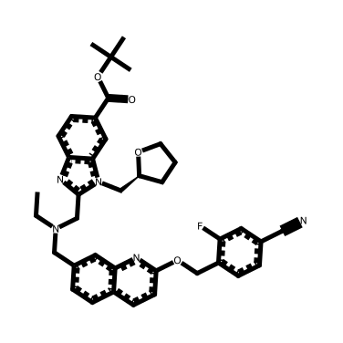 CCN(Cc1ccc2ccc(OCc3ccc(C#N)cc3F)nc2c1)Cc1nc2ccc(C(=O)OC(C)(C)C)cc2n1C[C@@H]1CCCO1